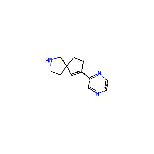 C1=C(c2cnccn2)CCC12CCNC2